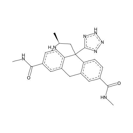 CNC(=O)c1ccc2c(c1)Cc1cc(C(=O)NC)ccc1C2(C[C@H](C)N)c1nn[nH]n1